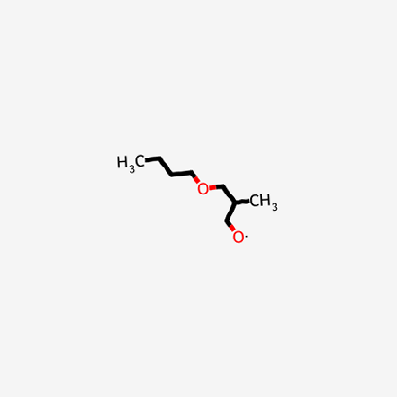 CCCCOCC(C)C[O]